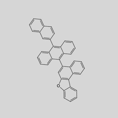 c1ccc2cc(-c3c4ccccc4c(-c4cc5oc6ccccc6c5c5ccccc45)c4ccccc34)ccc2c1